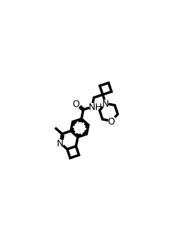 CC1=NC2CCC2c2ccc(C(=O)NCC3(N4CCOCC4)CCC3)cc21